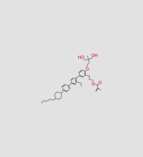 C=C(C)C(=O)OCCCc1cc(-c2ccc(-c3ccc(C4CCC(CCCCC)CC4)cc3)cc2CC)ccc1OCCC(C)(CO)CO